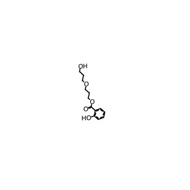 O=C(OCCCOCCCO)c1ccccc1O